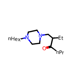 CCCCCCN1CCN(CC(CC)C(=O)CCC)CC1